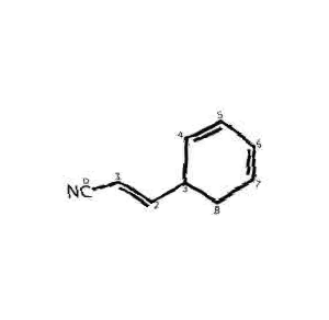 N#CC=CC1C=CC=CC1